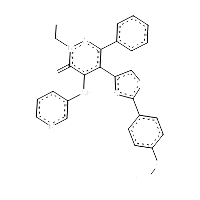 CCn1nc(-c2ccccc2)c(-c2csc(-c3ccc(OC)cc3)n2)c(Nc2cccnc2)c1=O